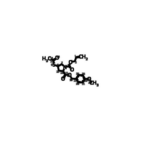 C=CCOC(=O)N1CC(SC(C)=O)CC1C(=O)OCc1ccc(OC)cc1